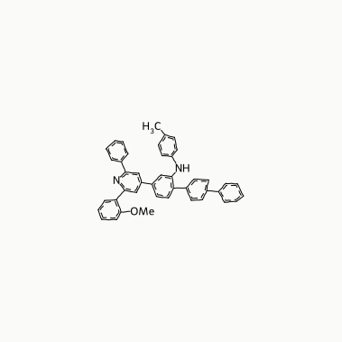 COc1ccccc1-c1cc(-c2ccc(-c3ccc(-c4ccccc4)cc3)c(Nc3ccc(C)cc3)c2)cc(-c2ccccc2)n1